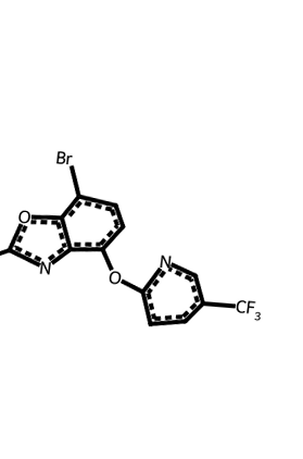 CCc1nc2c(Oc3ccc(C(F)(F)F)cn3)ccc(Br)c2o1